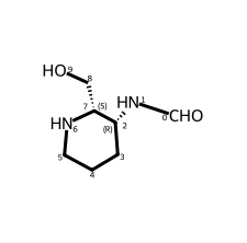 O=CN[C@@H]1CCCN[C@@H]1CO